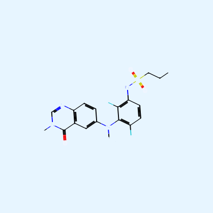 CCCS(=O)(=O)Nc1ccc(F)c(N(C)c2ccc3ncn(C)c(=O)c3c2)c1F